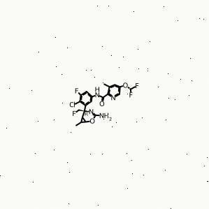 Cc1cc(OC(F)F)cnc1C(=O)Nc1cc(F)c(Cl)c([C@]2(CF)N=C(N)OC3C(C)C32)c1